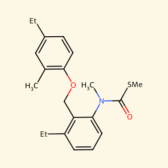 CCc1ccc(OCc2c(CC)cccc2N(C)C(=O)SC)c(C)c1